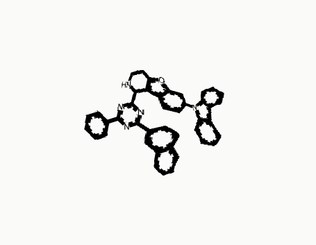 C1=Cc2oc3cc(-n4c5ccccc5c5ccccc54)ccc3c2C(c2nc(-c3ccccc3)nc(-c3ccc4ccccc4c3)n2)N1